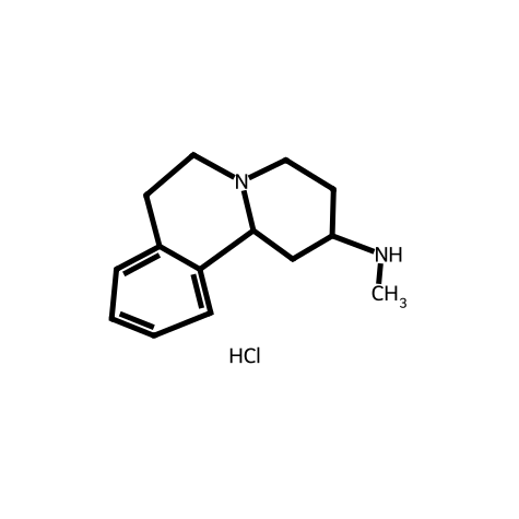 CNC1CCN2CCc3ccccc3C2C1.Cl